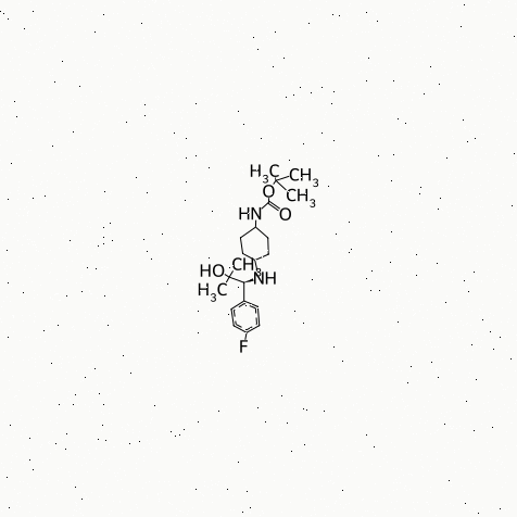 CC(C)(C)OC(=O)NC1CCC(N[C@@H](c2ccc(F)cc2)C(C)(C)O)CC1